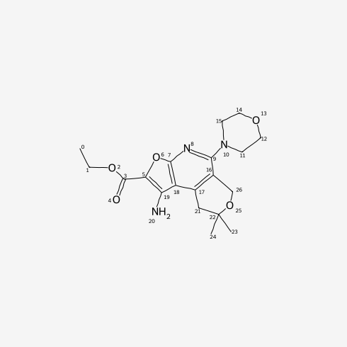 CCOC(=O)c1oc2nc(N3CCOCC3)c3c(c2c1N)CC(C)(C)OC3